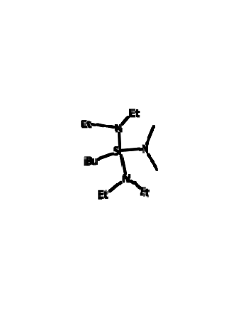 CCC(C)[Si](N(C)C)(N(CC)CC)N(CC)CC